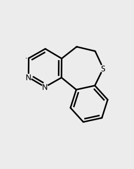 [c]1cc2c(nn1)-c1ccccc1SCC2